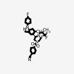 Cc1cc2c(cnn2-c2ccc(F)cc2)cc1[C@@H]1CN(S(=O)(=O)c2ccc(C#N)cc2)CCN1CC(C)C(F)(F)F